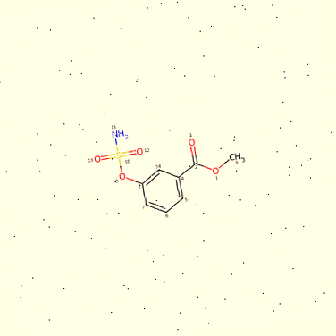 COC(=O)c1cccc(OS(N)(=O)=O)c1